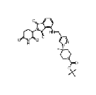 CC(C)(C)OC(=O)N1CCC(C)(n2cc(CNc3cccc4c3C(=O)N(C3CCC(=O)NC3=O)C4=O)cn2)CC1